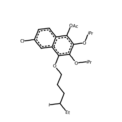 CCC(I)CCCOc1c(OC(C)C)c(OC(C)C)c(OC(C)=O)c2ccc(Cl)cc12